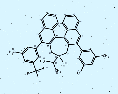 Cc1cc(C)cc(-c2cc3ccccc3c3c2C[N+](C)(C(C)C)Cc2c(-c4cc(C)cc(C(F)(F)F)c4)cc4ccccc4c2-3)c1